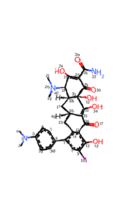 CN(C)c1ccc(-c2cc(I)c(O)c3c2C[C@@H]2C[C@@H]4[C@@H](N(C)C)C(O)=C(C(N)=O)C(=O)[C@]4(O)C(O)=C2C3=O)cc1